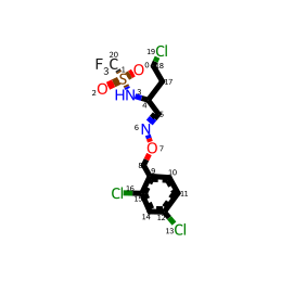 O=S(=O)(NC(C=NOCc1ccc(Cl)cc1Cl)CCCl)C(F)(F)F